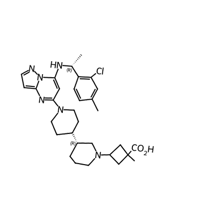 Cc1ccc([C@@H](C)Nc2cc(N3CCC([C@H]4CCCN(C5CC(C)(C(=O)O)C5)C4)CC3)nc3ccnn23)c(Cl)c1